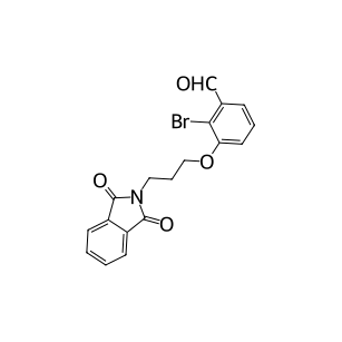 O=Cc1cccc(OCCCN2C(=O)c3ccccc3C2=O)c1Br